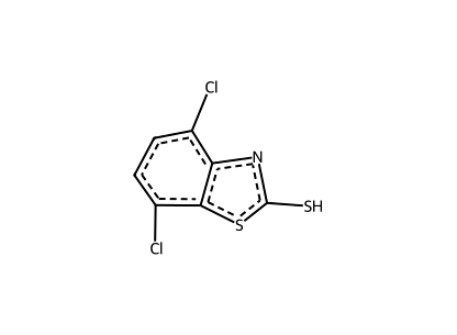 Sc1nc2c(Cl)ccc(Cl)c2s1